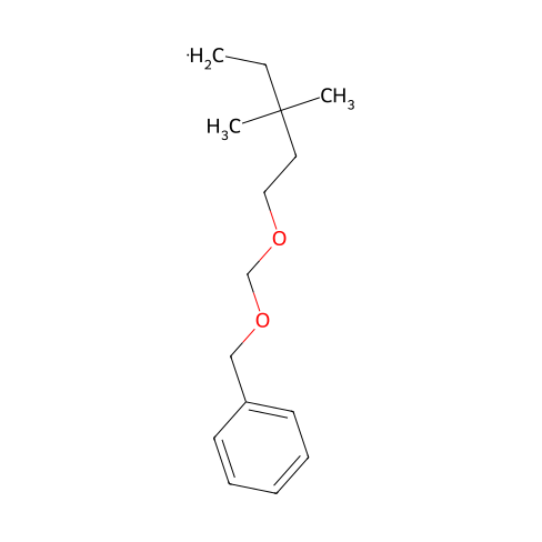 [CH2]CC(C)(C)CCOCOCc1ccccc1